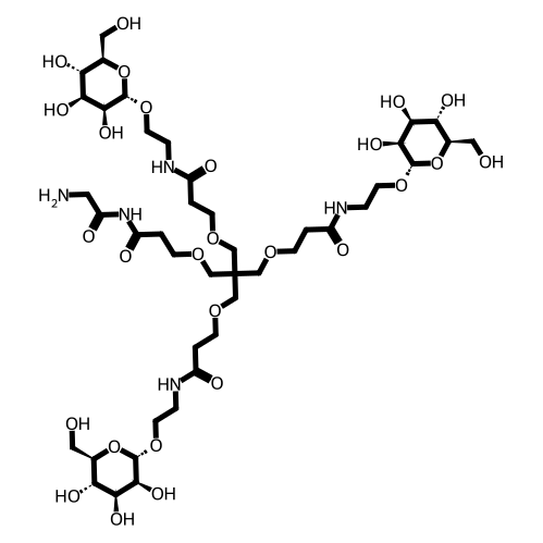 NCC(=O)NC(=O)CCOCC(COCCC(=O)NCCO[C@H]1O[C@H](CO)[C@@H](O)[C@H](O)[C@@H]1O)(COCCC(=O)NCCO[C@H]1O[C@H](CO)[C@@H](O)[C@H](O)[C@@H]1O)COCCC(=O)NCCO[C@H]1O[C@H](CO)[C@@H](O)[C@H](O)[C@@H]1O